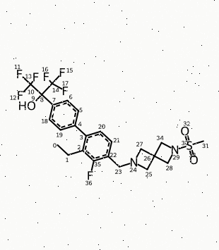 CCc1c(-c2ccc(C(O)(C(F)(F)F)C(F)(F)F)cc2)ccc(CN2CC3(C2)CN(S(C)(=O)=O)C3)c1F